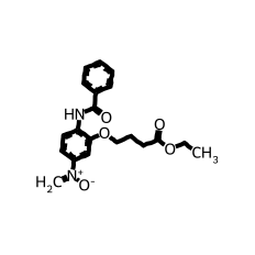 C=[N+]([O-])c1ccc(NC(=O)c2ccccc2)c(OCCCC(=O)OCC)c1